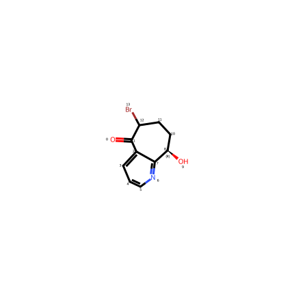 O=C1c2cccnc2[C@H](O)CCC1Br